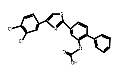 O=C(O)Oc1cc(-c2nc(-c3ccc(Cl)c(Cl)c3)cs2)ccc1-c1ccccc1